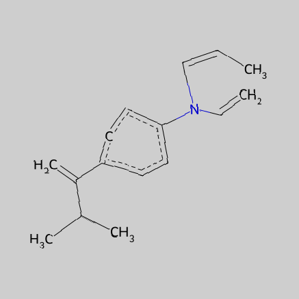 C=CN(/C=C\C)c1ccc(C(=C)C(C)C)cc1